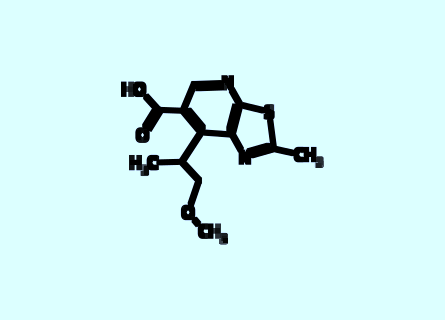 COCC(C)c1c(C(=O)O)cnc2sc(C)nc12